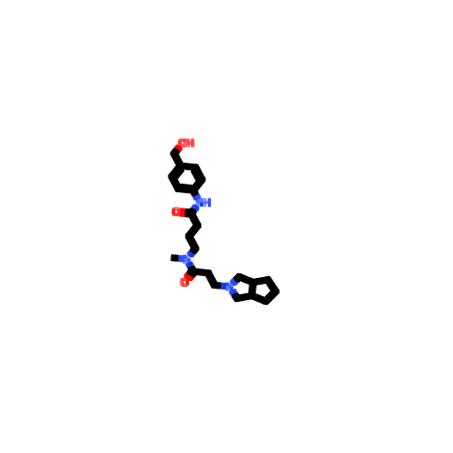 CN(CCCC(=O)Nc1ccc(CO)cc1)C(=O)CCN1CC2CCCC2C1